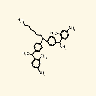 CCCCCCCC(c1ccc(C(C)c2ccc(N)cc2C)cc1)c1ccc(C(C)c2ccc(N)cc2C)cc1